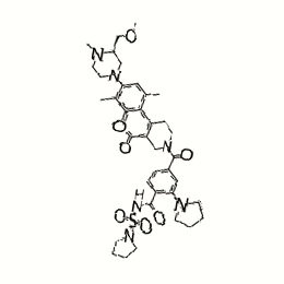 COC[C@H]1CN(c2cc(C)c3c4c(c(=O)oc3c2C)CN(C(=O)c2ccc(C(=O)NS(=O)(=O)N3CCCC3)c(N3CCCC3)c2)CC4)CCN1C